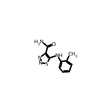 Cc1ccccc1Nc1snnc1C(N)=O